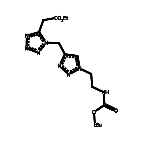 CCOC(=O)Cc1nnnn1Cc1cn(CCNC(=O)OC(C)(C)C)nn1